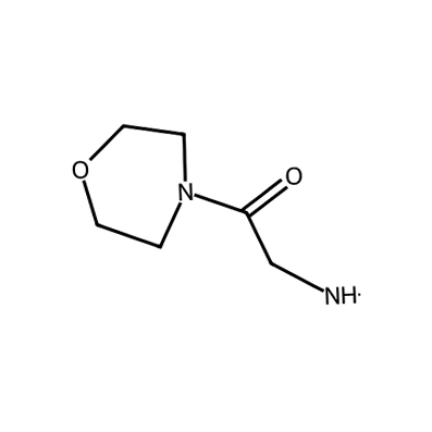 [NH]CC(=O)N1CCOCC1